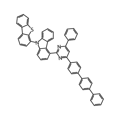 c1ccc(-c2ccc(-c3ccc(-c4cc(-c5ccccc5)nc(-c5cccc6c5c5ccccc5n6-c5cccc6c5sc5ccccc56)n4)cc3)cc2)cc1